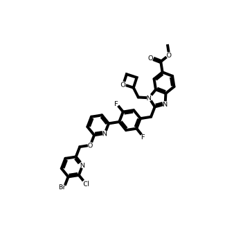 COC(=O)c1ccc2nc(Cc3cc(F)c(-c4cccc(OCc5ccc(Br)c(Cl)n5)n4)cc3F)n(CC3CCO3)c2c1